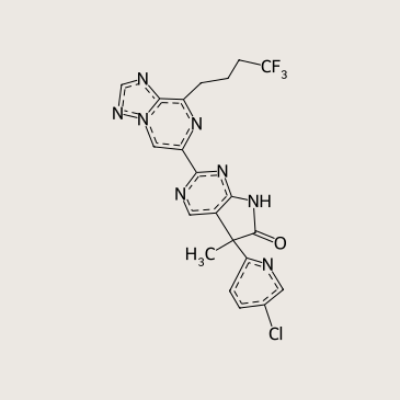 CC1(c2ccc(Cl)cn2)C(=O)Nc2nc(-c3cn4ncnc4c(CCCC(F)(F)F)n3)ncc21